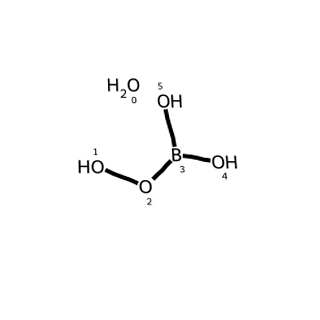 O.OOB(O)O